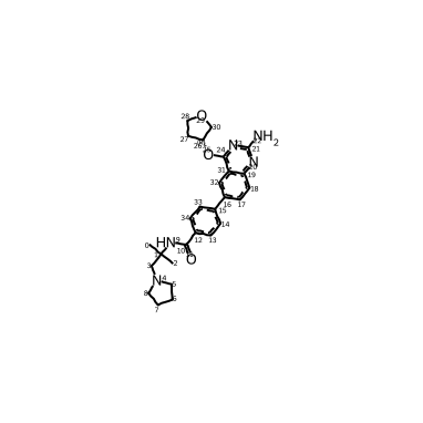 CC(C)(CN1CCCC1)NC(=O)c1ccc(-c2ccc3nc(N)nc(O[C@@H]4CCOC4)c3c2)cc1